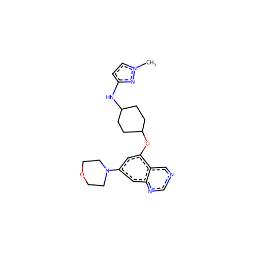 Cn1ccc(NC2CCC(Oc3cc(N4CCOCC4)cc4ncncc34)CC2)n1